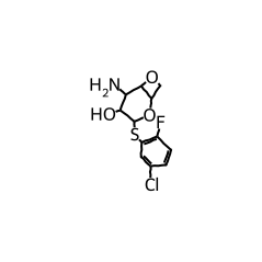 NC1C(O)C(Sc2cc(Cl)ccc2F)OC2COC21